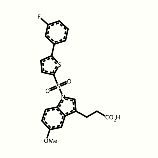 COc1ccc2c(c1)c(CCC(=O)O)cn2S(=O)(=O)c1ccc(-c2cccc(F)c2)s1